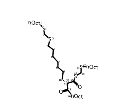 CCCCCCCCSCSCCCCCCC[C@@H](C(=O)CCCCCCCC)C(=O)SCSCCCCCCCC